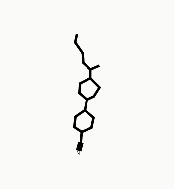 CCCCC(C)C1CCC(C2CCC(C#N)CC2)CC1